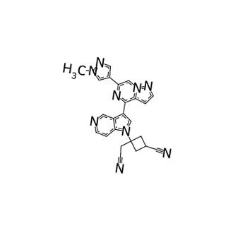 Cn1cc(-c2cn3nccc3c(-c3cn(C4(CC#N)CC(C#N)C4)c4ccncc34)n2)cn1